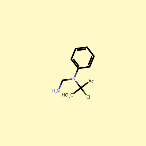 CC(=O)C(Cl)(C(=O)O)N(CN)c1ccccc1